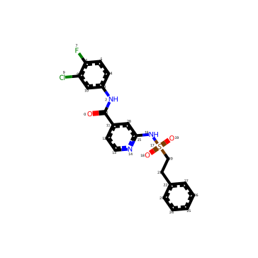 O=C(Nc1ccc(F)c(Cl)c1)c1ccnc(NS(=O)(=O)CCc2ccccc2)c1